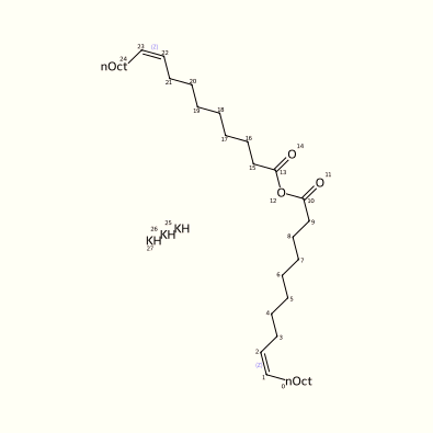 CCCCCCCC/C=C\CCCCCCCC(=O)OC(=O)CCCCCCC/C=C\CCCCCCCC.[KH].[KH].[KH]